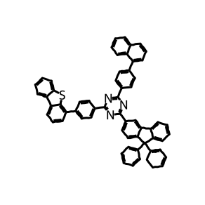 C1=CCCC(C2(c3ccccc3)c3ccccc3-c3cc(-c4nc(-c5ccc(-c6cccc7ccccc67)cc5)nc(-c5ccc(-c6cccc7c6sc6ccccc67)cc5)n4)ccc32)=C1